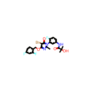 Cc1nc(OCc2ccc(F)cc2F)c(Br)c(=O)n1-c1cc(NC(=O)C(C)(C)O)ccc1F